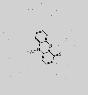 Cn1c2cccc(=S)c-2nc2ccccc21